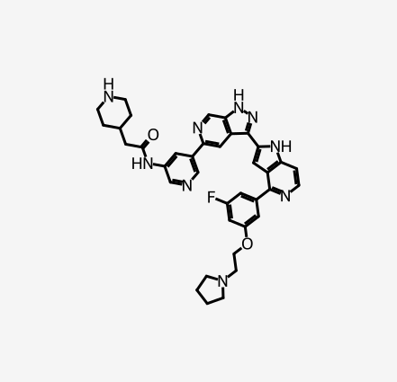 O=C(CC1CCNCC1)Nc1cncc(-c2cc3c(-c4cc5c(-c6cc(F)cc(OCCN7CCCC7)c6)nccc5[nH]4)n[nH]c3cn2)c1